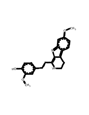 COc1ccc2c(c1)=NC1=C(CCc3ccc(O)c(OC)c3)NCCC=21